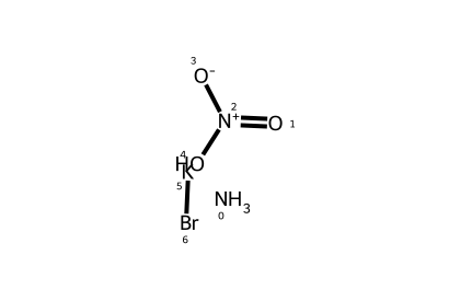 N.O=[N+]([O-])O.[K][Br]